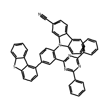 N#Cc1ccc2c3ccccc3n(-c3ccc(-c4cccc5sc6ccccc6c45)cc3-c3nc(-c4ccccc4)nc(-c4ccccc4)n3)c2c1